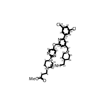 COC(=O)CCN1CCN(c2ncc(Oc3cc(CN4CCC(CNC(C)=O)CC4)cc(-c4cc(Cl)cc(Cl)c4)n3)cn2)CC1